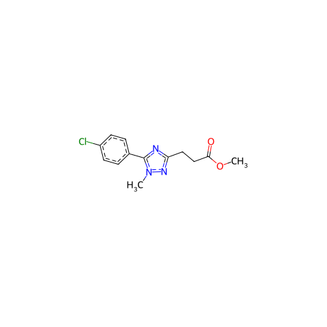 COC(=O)CCc1nc(-c2ccc(Cl)cc2)n(C)n1